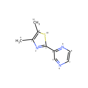 Cc1nc(-c2cnccn2)sc1C